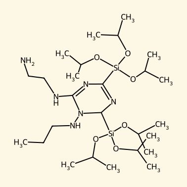 CCCNN1C(NCCN)=NC([Si](OC(C)C)(OC(C)C)OC(C)C)=NC1[Si](OC(C)C)(OC(C)C)OC(C)C